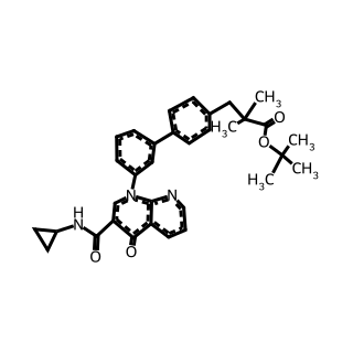 CC(C)(C)OC(=O)C(C)(C)Cc1ccc(-c2cccc(-n3cc(C(=O)NC4CC4)c(=O)c4cccnc43)c2)cc1